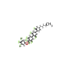 CCCCCc1ccc(-c2cc(F)c(-c3cc(F)c(C(F)(F)Oc4cc(F)c(F)c(F)c4)c(F)c3)c(F)c2)c(F)c1